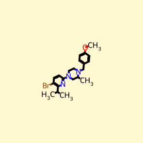 COc1ccc(CN2CCN(c3ccc(Br)c(C(C)C)n3)CC2C)cc1